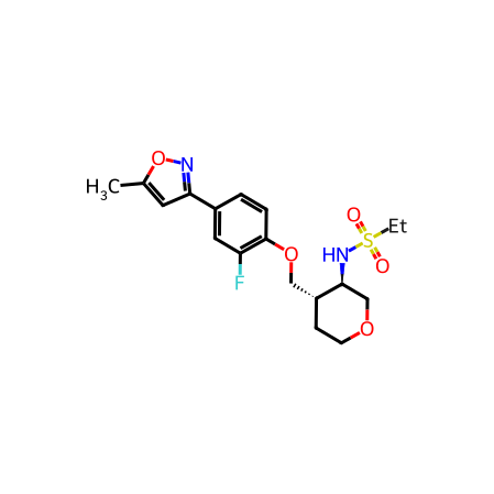 CCS(=O)(=O)N[C@H]1COCC[C@@H]1COc1ccc(-c2cc(C)on2)cc1F